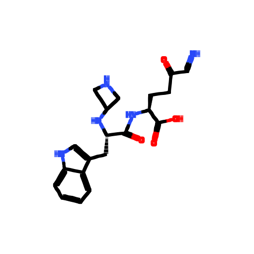 N=CC(=O)CC[C@H](NC(=O)[C@H](Cc1c[nH]c2ccccc12)NC1CNC1)C(=O)O